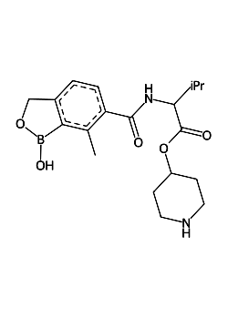 Cc1c(C(=O)NC(C(=O)OC2CCNCC2)C(C)C)ccc2c1B(O)OC2